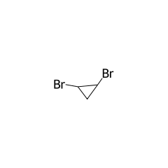 BrC1CC1Br